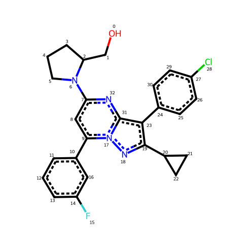 OCC1CCCN1c1cc(-c2cccc(F)c2)n2nc(C3CC3)c(-c3ccc(Cl)cc3)c2n1